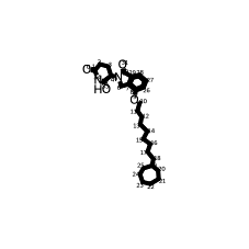 O=C1CCC(N2Cc3c(OCCCCCCCCCC4CCCCCC4)cccc3C2=O)C(=O)N1